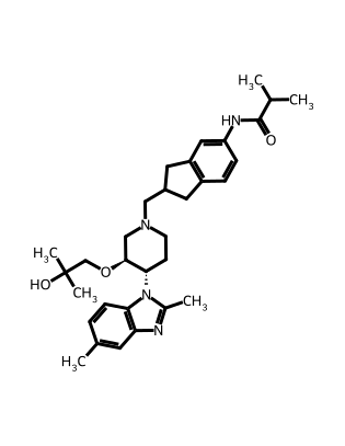 Cc1ccc2c(c1)nc(C)n2[C@H]1CCN(CC2Cc3ccc(NC(=O)C(C)C)cc3C2)C[C@@H]1OCC(C)(C)O